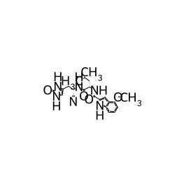 COc1cccc2[nH]c(C(=O)N[C@@H](CC(C)C)C(=O)N[C@H](C#N)Cc3c[nH]c(=O)[nH]3)cc12